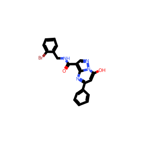 O=C(NCc1ccccc1Br)c1cnn2c(O)cc(-c3ccccc3)nc12